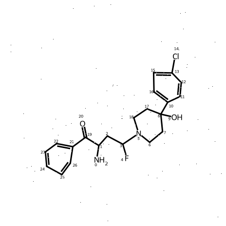 NC(CC(F)N1CCC(O)(c2ccc(Cl)cc2)CC1)C(=O)c1ccccc1